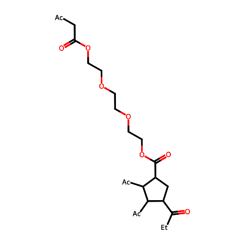 CCC(=O)C1CC(C(=O)OCCOCCOCCOC(=O)CC(C)=O)C(C(C)=O)C1C(C)=O